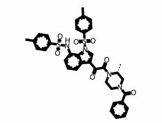 Cc1ccc(S(=O)(=O)Nc2cccc3c(C(=O)C(=O)N4CCN(C(=O)c5ccccc5)C[C@H]4C)cn(S(=O)(=O)c4ccc(C)cc4)c23)cc1